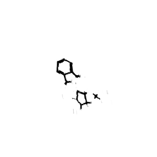 CC1(C)O[C@H]2[C@@H](N3C(=O)c4ccccc4C3=O)[C@H](O)C(O)[C@H]2O1